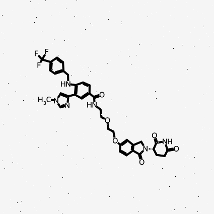 Cn1cnc(-c2cc(C(=O)NCCOCCOc3ccc4c(c3)CN([C@H]3CCC(=O)NC3=O)C4=O)ccc2NCc2ccc(C(F)(F)F)cc2)c1